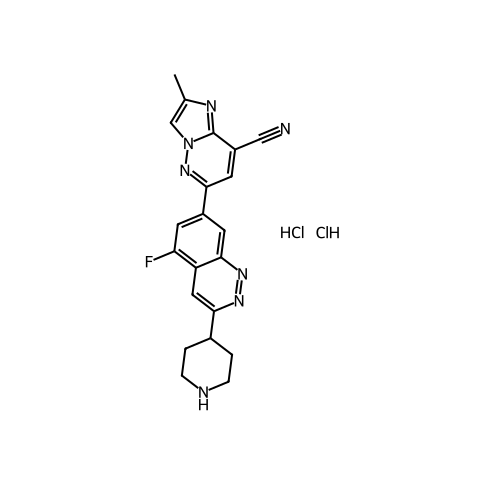 Cc1cn2nc(-c3cc(F)c4cc(C5CCNCC5)nnc4c3)cc(C#N)c2n1.Cl.Cl